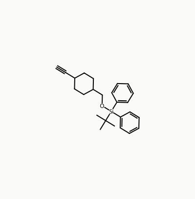 C#CC1CCC(CO[Si](c2ccccc2)(c2ccccc2)C(C)(C)C)CC1